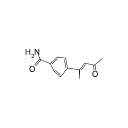 CC(=O)C=C(C)c1ccc(C(N)=O)cc1